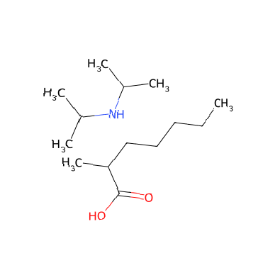 CC(C)NC(C)C.CCCCCC(C)C(=O)O